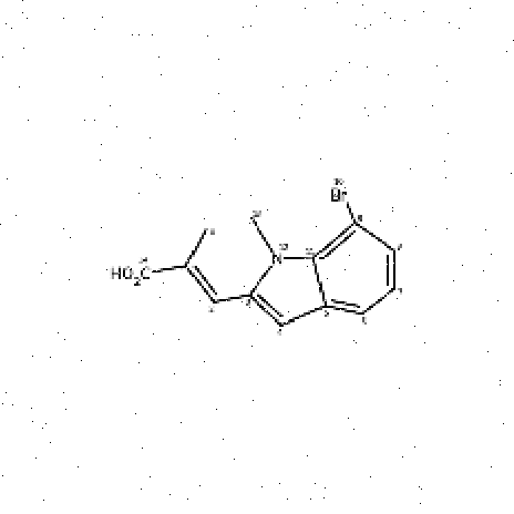 CC(=Cc1cc2cccc(Br)c2n1C)C(=O)O